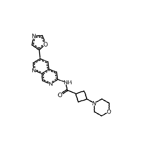 O=C(Nc1cc2cc(-c3cnco3)cnc2cn1)C1CC(N2CCOCC2)C1